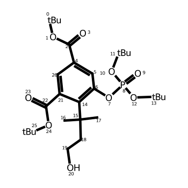 CC(C)(C)OC(=O)c1cc(OP(=O)(OC(C)(C)C)OC(C)(C)C)c(C(C)(C)CCO)c(C(=O)OC(C)(C)C)c1